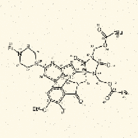 CCOc1ccc2c(c1F)C(=O)N(C[C@]1(c3cc4nc(N5CCN(CC)CC5)ccc4o3)C(=O)N(COC(=O)C(C)(C)C)C(=O)N1COC(=O)C(C)(C)C)C2